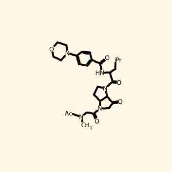 CC(=O)N(C)CC(=O)N1CC(=O)C2C1CCN2C(=O)C(CC(C)C)NC(=O)c1ccc(N2CCOCC2)cc1